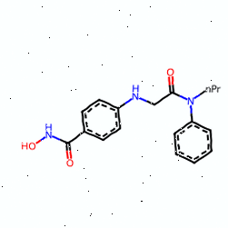 CCCN(C(=O)CNc1ccc(C(=O)NO)cc1)c1ccccc1